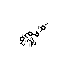 CO[C@@H](Cn1c(Cc2ccc(-c3cccc(OCc4ccc(C#N)cc4F)n3)cc2)nc2ccc(C(C)=O)cc21)C(=O)Nc1nccs1